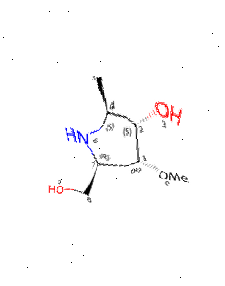 CO[C@H]1[C@@H](O)[C@H](C)N[C@@H]1CO